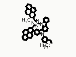 C/C=C\c1cc(-n2c3ccccc3c3c2ccc2c4ccccc4n(-c4nc(C5=Cc6ccc7cccc8c7c6C(C=C8)C5C)nc(-c5cc6ccc7cccc8ccc(c5)c6c78)n4)c23)ccc1C